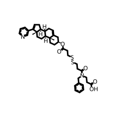 C[C@]12CC[C@H](OC(=O)CCSSCCC(=O)N(CCC(=O)O)Cc3ccccc3)CC1=CC[C@@H]1[C@@H]2CC[C@]2(C)C(c3cccnc3)=CC[C@@H]12